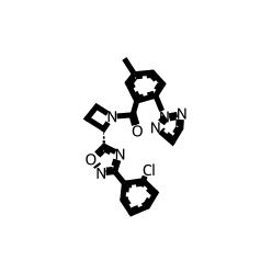 Cc1ccc(-n2nccn2)c(C(=O)N2CC[C@H]2c2nc(-c3ccccc3Cl)no2)c1